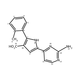 Cc1ccccc1-c1[nH]c(-c2ccnc(N)n2)cc1C(=O)O